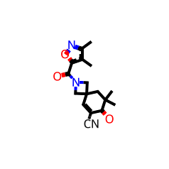 Cc1noc(C(=O)N2CC3(C=C(C#N)C(=O)C(C)(C)C3)C2)c1C